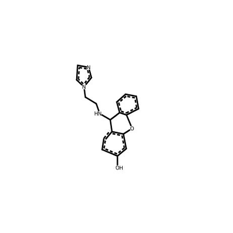 Oc1ccc2c(c1)Oc1ccccc1C2NCCn1ccnc1